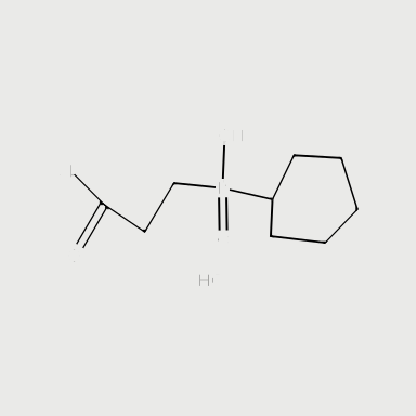 Cl.O=C(Cl)CCP(=O)(O)C1CCCCC1